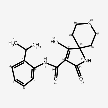 CC(C)c1ccccc1NC(=O)C1=C(O)C2(CCSCC2)NC1=O